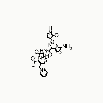 Nc1nc(C(=NOC2CCNC2=O)C(=O)N[C@@H]2C(=O)N3C(C(=O)[O-])=C(C[n+]4ccccc4)CS[C@@H]23)cs1